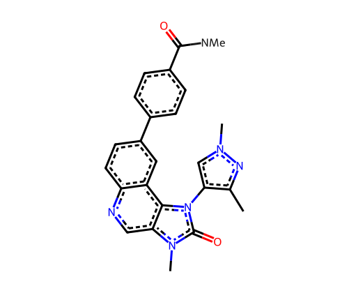 CNC(=O)c1ccc(-c2ccc3ncc4c(c3c2)n(-c2cn(C)nc2C)c(=O)n4C)cc1